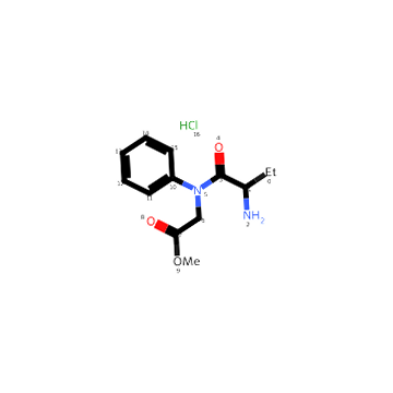 CCC(N)C(=O)N(CC(=O)OC)c1ccccc1.Cl